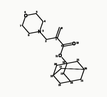 C=C(CN1CCOCC1)C(=O)OC12CC3CC(CC(C3)C1)C2